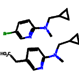 CN(CC1CC1)c1ccc(Br)cn1.CN(CC1CC1)c1ccc(CC(=O)O)cn1